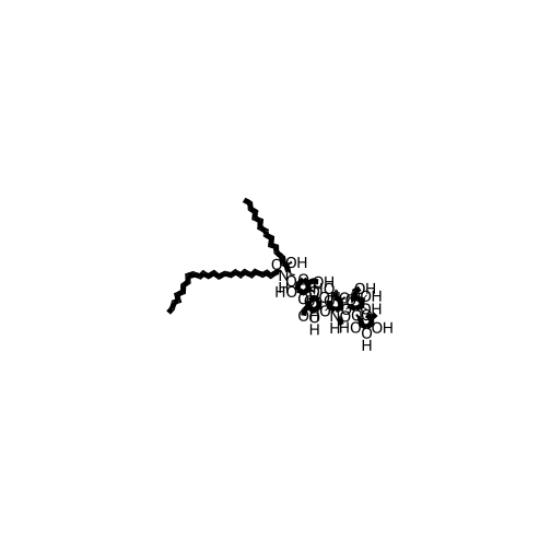 CCCCCCCC/C=C\CCCCCCCCCCCCCCCC(=O)N[C@@H](CO[C@@H]1OC(CO)[C@@H](O[C@@H]2OC(CO)[C@H](O)[C@H](O[C@@H]3OC(CO)[C@@H](O)[C@H](O[C@@H]4OC(CO)[C@H](O)[C@H](O)C4O[C@H]4OC(C)[C@@H](O)C(O)[C@@H]4O)C3NC(C)=O)C2O)[C@H](O)C1O)[C@H](O)/C=C/CCCCCCCCCCCCC